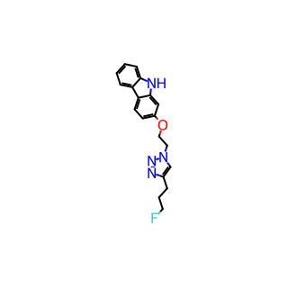 FCCCc1cn(CCOc2ccc3c(c2)[nH]c2ccccc23)nn1